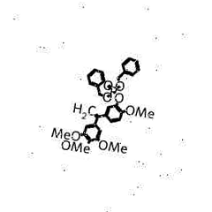 C=C(c1ccc(OC)c(OP(=O)(OCc2ccccc2)OCc2ccccc2)c1)c1cc(OC)c(OC)c(OC)c1